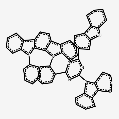 c1ccc(-n2c3ccccc3c3ccc4c5ccccc5n(-c5ccccc5-c5nc(-c6ccc7c(c6)oc6ccccc67)nc(-n6c7ccccc7c7ccccc76)n5)c4c32)cc1